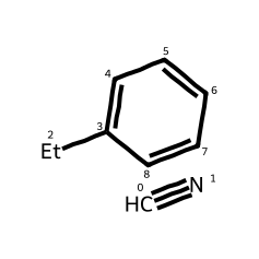 C#N.CCc1ccccc1